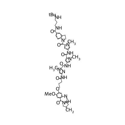 C=C1C[C@H]2C=Nc3cc(OCCCC(=O)Nc4cn(C)c(C(=O)Nc5cc(C(=O)Nc6cc(C(=O)N7CCc8cc(C(=O)NCCCNC(C)(C)C)ccc87)n(C)c6)n(C)c5)n4)c(OC)cc3C(=O)N2C1